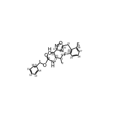 CC(C)[C@H](NC(=O)OCc1ccccc1)C(O)c1noc(Cc2c(F)cccc2F)n1